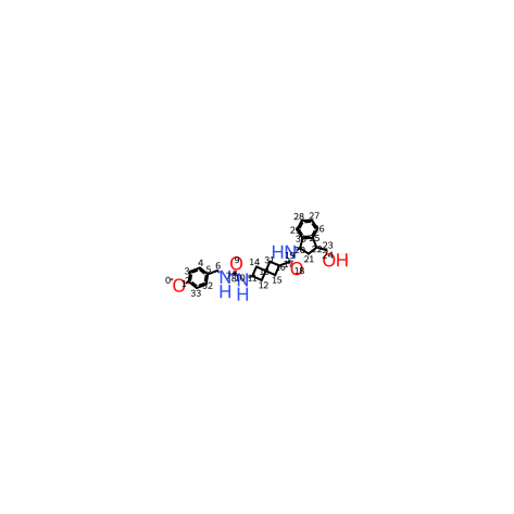 COc1ccc(CNC(=O)NC2CC3(C2)CC(C(=O)NC2CC(CO)c4ccccc42)C3)cc1